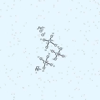 [Cl-].[Cl-].[Cl-].[Fe+3].[Fe+3].[O-][Cl+3]([O-])([O-])[O-].[O-][Cl+3]([O-])([O-])[O-].[O-][Cl+3]([O-])([O-])[O-]